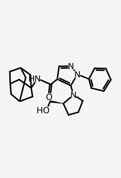 O=C(NC12CC3CC(CC(C3)C1)C2)c1cnn(-c2ccccc2)c1N1CCC[C@H]1CO